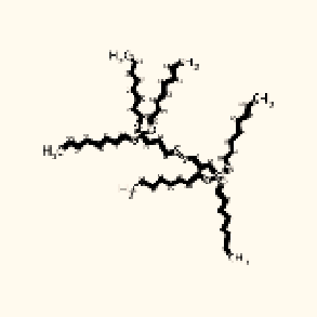 CCCCCCCCO[Si](CCCSSCCC[Si](OCCCCCCCC)(OCCCCCCCC)OCCCCCCCC)(OCCCCCCCC)OCCCCCCCC